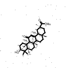 CC(C)COC(=O)[C@@]1(C)CC[C@]2(C)CC[C@]3(C)C(=CC(=O)[C@@H]4[C@@]5(C)CC[C@H](O)C(C)(C)[C@@H]5CC[C@]43C)[C@H]2C1